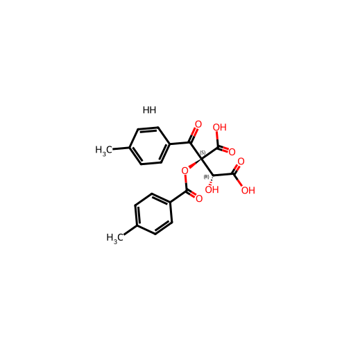 Cc1ccc(C(=O)O[C@](C(=O)O)(C(=O)c2ccc(C)cc2)[C@@H](O)C(=O)O)cc1.[HH]